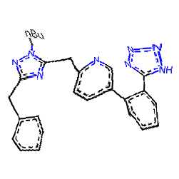 CCCCn1nc(Cc2ccccc2)nc1Cc1ccc(-c2ccccc2-c2nnn[nH]2)cn1